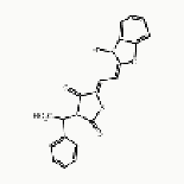 CCN1C(=CC=C2SC(=S)N(C(C(=O)O)c3ccccc3)C2=O)Oc2ccccc21